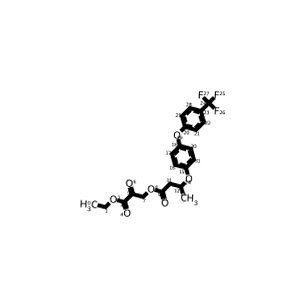 CCOC(=O)C(=O)COC(=O)CC(C)Oc1ccc(Oc2ccc(C(F)(F)F)cc2)cc1